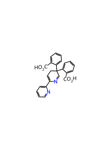 O=C(O)c1ccccc1C1(c2ccccc2C(=O)O)C=NC(c2ccccn2)=CC1